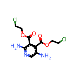 Nc1cnc(N)c(C(=O)OCCCl)c1C(=O)OCCCl